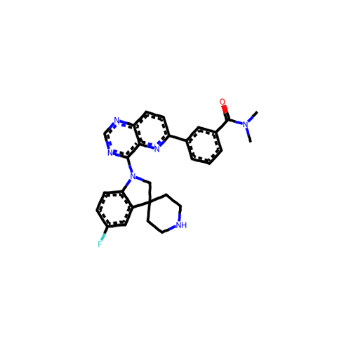 CN(C)C(=O)c1cccc(-c2ccc3ncnc(N4CC5(CCNCC5)c5cc(F)ccc54)c3n2)c1